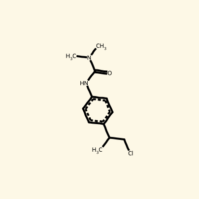 CC(CCl)c1ccc(NC(=O)N(C)C)cc1